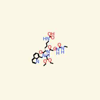 CCNC(=O)NOCC(=O)N[C@@H](CCCCNC(=O)O)C(=O)N(Cc1cccc2cccnc12)[C@@H](C)C(OCC)OCC